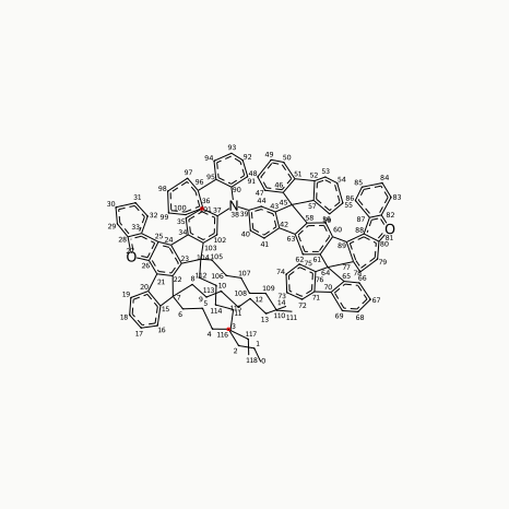 CCCCCCCC1(CCCCCCC)c2ccccc2-c2c1c1c(c3c2oc2ccccc23)-c2ccc(N(c3ccc4c(c3)C3(c5ccccc5-c5ccccc53)c3cc5c(cc3-4)C3(c4ccccc4-c4ccccc43)c3ccc4oc6ccccc6c4c3-5)c3ccccc3-c3ccccc3)cc2C1(CCCCCCC)CCCCCCC